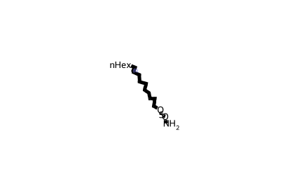 CCCCCC/C=C/CCCCCCCCOSON